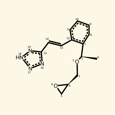 C[C@@H](OC[C@H]1CO1)c1ccccc1/C=C/c1nn[nH]n1